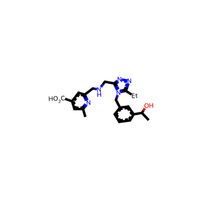 CCc1nnc(CNCc2cc(C(=O)O)cc(C)n2)n1Cc1cccc(C(C)O)c1